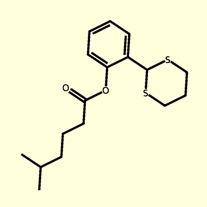 CC(C)CCCC(=O)Oc1ccccc1C1SCCCS1